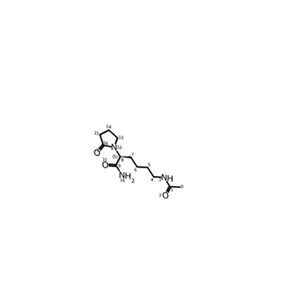 CC(=O)NCCCC[C@@H](C(N)=O)N1CCCC1=O